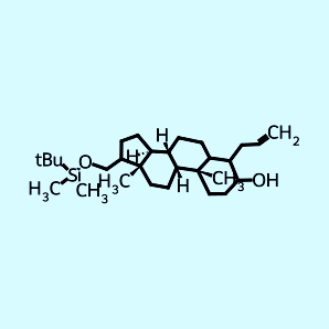 C=CCC1C(O)CC[C@@]2(C)C1CC[C@@H]1[C@H]2CC[C@]2(C)C(CO[Si](C)(C)C(C)(C)C)CC[C@@H]12